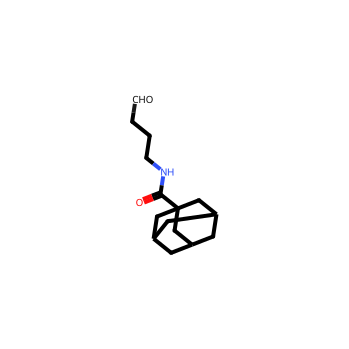 O=CCCCNC(=O)C12CC3CC(CC(C3)C1)C2